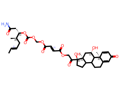 C/C=C/C[C@@H](C)[C@H](CC(N)=O)OC(=O)OCOC(=O)/C=C/C(=O)OCC(=O)[C@@]1(O)CCC2C3CCC4=CC(=O)C=C[C@]4(C)C3[C@@H](O)C[C@@]21C